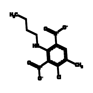 CCCCNc1c([N+](=O)[O-])cc(C)c(Cl)c1[N+](=O)[O-]